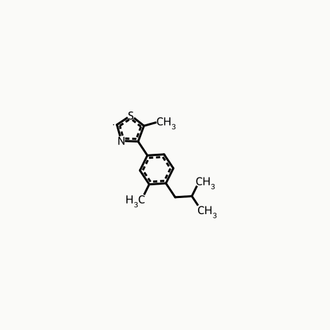 Cc1cc(-c2n[c]sc2C)ccc1CC(C)C